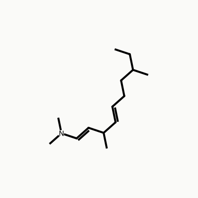 CCC(C)CCC=CC(C)C=CN(C)C